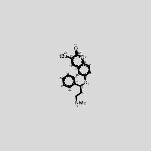 CNCCC(Oc1ccc2oc(=O)c(C(C)(C)C)cc2c1)c1ccccc1